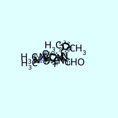 Cc1ccc(C)c(Cc2nc(C=O)nn2-c2ccc(S(=O)(=O)/N=C/N(C)C)cc2F)c1